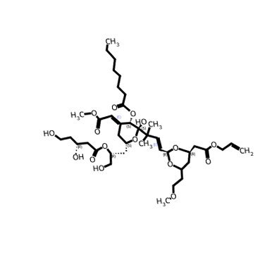 C=CCOC(=O)C[C@H]1CC(CCOC)O[C@@H](/C=C/C(C)(C)[C@]2(O)O[C@H](C[C@H](CO)OC(=O)C[C@H](O)CCO)C/C(=C\C(=O)OC)[C@@H]2OC(=O)CCCCCCC)O1